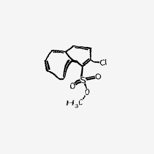 COS(=O)(=O)c1c(Cl)ccc2ccccc12